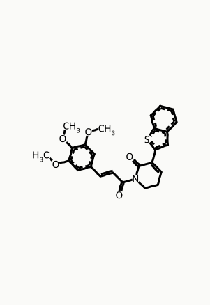 COc1cc(C=CC(=O)N2CCC=C(c3cc4ccccc4s3)C2=O)cc(OC)c1OC